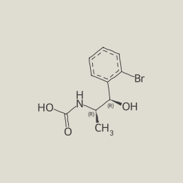 C[C@@H](NC(=O)O)[C@H](O)c1ccccc1Br